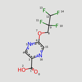 O=C(O)c1cnc(OCC(F)(F)C(F)F)cn1